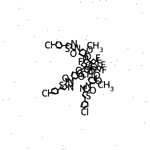 COc1cc(-n2cnc3cc(-c4ccc(Cl)cc4)sc3c2=O)ccc1OCC1(OP(=O)(OC2(COc3ccc(-n4cnc5cc(-c6ccc(Cl)cc6)sc5c4=O)cc3OC)CC(F)(F)C2)OC2(COc3ccc(-n4cnc5cc(-c6ccc(Cl)cc6)sc5c4=O)cc3OC)CC(F)(F)C2)CC(F)(F)C1